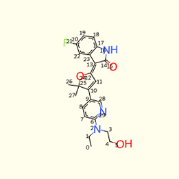 CCN(CCO)c1ccc(C2=C/C(=C3\C(=O)Nc4ccc(F)cc43)OC2(C)C)cn1